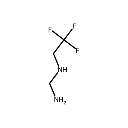 NCNCC(F)(F)F